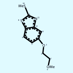 COCCOc1ccc2sc(SC)nc2c1